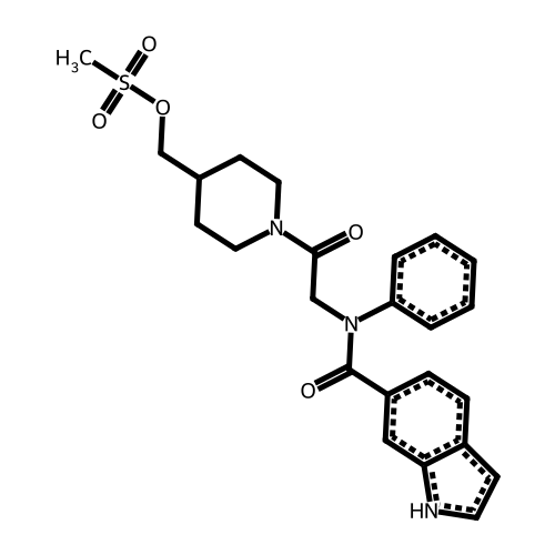 CS(=O)(=O)OCC1CCN(C(=O)CN(C(=O)c2ccc3cc[nH]c3c2)c2ccccc2)CC1